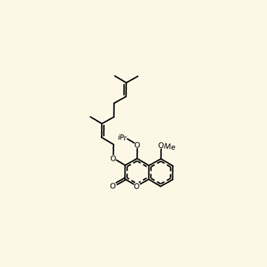 COc1cccc2oc(=O)c(OCC=C(C)CCC=C(C)C)c(OC(C)C)c12